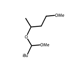 CCC(C)C(OC)OC(C)CCOC